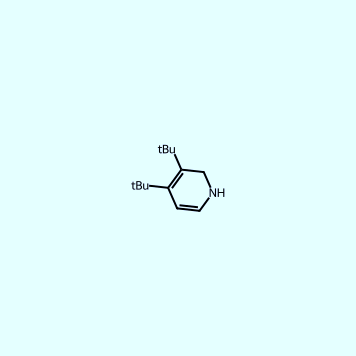 CC(C)(C)C1=C(C(C)(C)C)CNC=C1